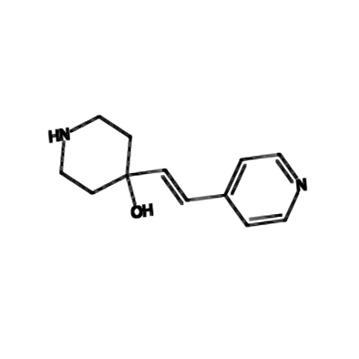 OC1(C=Cc2ccncc2)CCNCC1